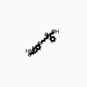 O=C1CN2Cc3ccc(OCCCCCC(=O)N(CCO)C4CCCCC4)cc3N=C2N1